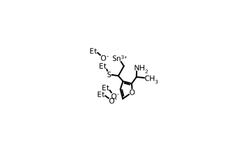 CCSC([CH2][Sn+3])c1ccoc1C(C)N.CC[O-].CC[O-].CC[O-]